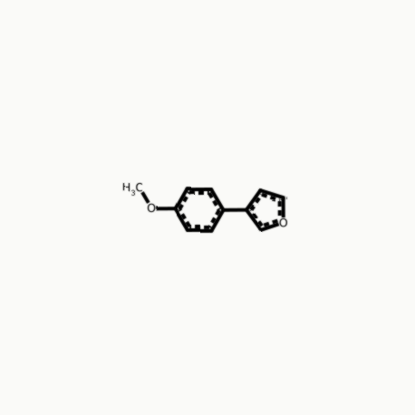 COc1ccc(-c2c[c]oc2)cc1